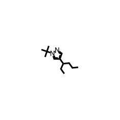 CCCC(CC)c1cnn(C(C)(C)C)c1